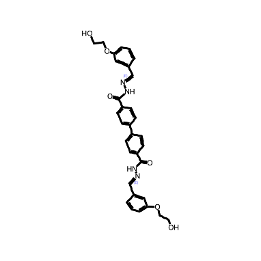 O=C(N/N=C/c1cccc(OCCO)c1)c1ccc(-c2ccc(C(=O)N/N=C/c3cccc(OCCO)c3)cc2)cc1